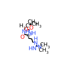 CN(C)C(=N)NCCC[C@H](NC(=O)OC(C)(C)C)C(N)=O